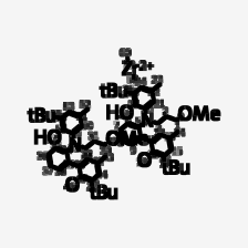 COCCCN(c1ccccc1-c1cc(C)cc(C(C)(C)C)c1[O-])c1cc(C)cc(C(C)(C)C)c1O.COCCCN(c1ccccc1-c1cc(C)cc(C(C)(C)C)c1[O-])c1cc(C)cc(C(C)(C)C)c1O.[CH3][Zr+2][CH3]